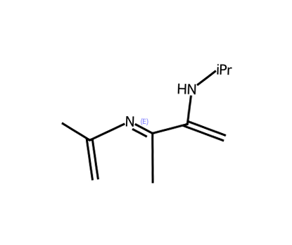 C=C(C)/N=C(\C)C(=C)NC(C)C